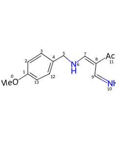 COc1ccc(CN/C=C(\C=N)C(C)=O)cc1